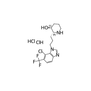 Cl.Cl.O[C@H]1CCCN[C@@H]1CCCn1cnc2ccc(C(F)(F)F)c(Cl)c21